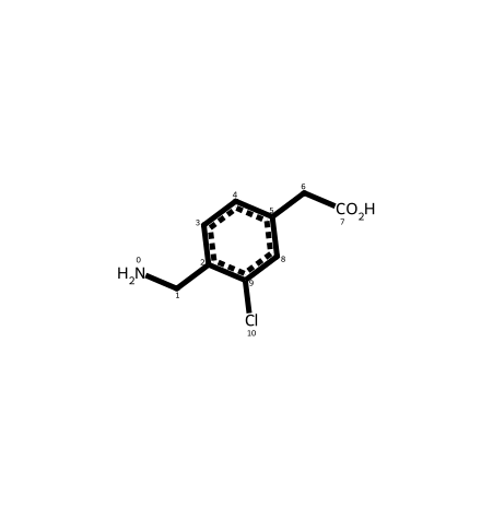 NCc1ccc(CC(=O)O)cc1Cl